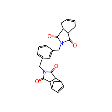 O=C1C2CC=CCC2C(=O)N1Cc1cccc(CN2C(=O)C3C4C=CC(C4)C3C2=O)c1